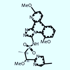 COc1ccc2c3cccc(OC)c3n3c(NS(=O)(=O)[C@@H](C)[C@H](OC)c4ncc(C)cn4)nnc3c2n1